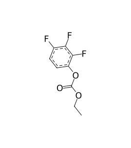 CCOC(=O)Oc1ccc(F)c(F)c1F